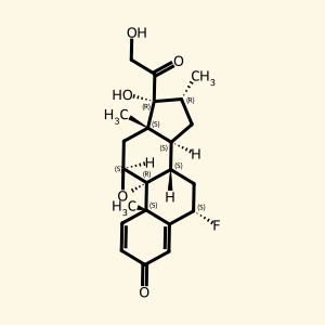 C[C@@H]1C[C@H]2[C@@H]3C[C@H](F)C4=CC(=O)C=C[C@]4(C)[C@]34O[C@H]4C[C@]2(C)[C@@]1(O)C(=O)CO